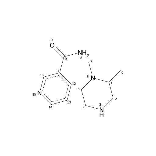 CC1CNCCN1C.NC(=O)c1cccnc1